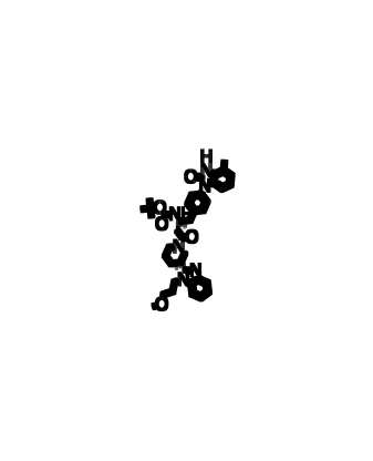 COCCCn1c([C@@H]2CCCN(C(=O)C[C@@H](Cc3ccc(-n4c(=O)[nH]c5c(C)cccc54)cc3)NC(=O)OC(C)(C)C)C2)nc2ccccc21